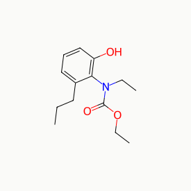 CCCc1cccc(O)c1N(CC)C(=O)OCC